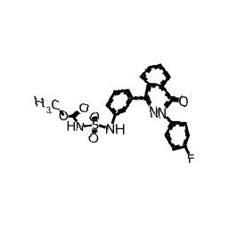 COC(=O)NS(=O)(=O)Nc1cccc(-c2nn(-c3ccc(F)cc3)c(=O)c3ccccc23)c1